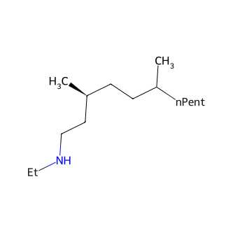 CCCCCC(C)CC[C@H](C)CCNCC